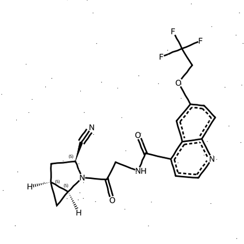 N#C[C@@H]1C[C@@H]2C[C@@H]2N1C(=O)CNC(=O)c1ccnc2ccc(OCC(F)(F)F)cc12